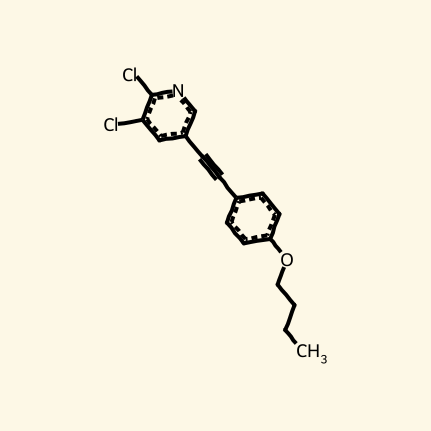 CCCCOc1ccc(C#Cc2cnc(Cl)c(Cl)c2)cc1